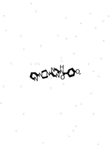 COc1ccc(C(=O)Nc2cnc(N3CCN(c4ccccn4)CC3)cn2)cc1